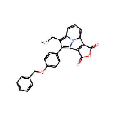 CCc1c(-c2ccc(OCc3ccccc3)cc2)c2c3c(c4cccc1n42)C(=O)OC3=O